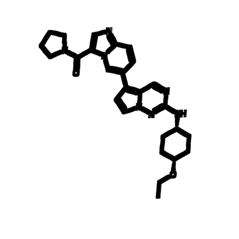 CCO[C@H]1CC[C@@H](Nc2ncc3c(-c4ccc5ncc(C(=O)N6CCCC6)n5c4)ccn3n2)CC1